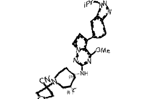 COc1nc(N[C@H]2CCN(C3(C#N)COC3)C[C@H]2F)nn2ccc(-c3ccc4nnn(C(C)C)c4c3)c12